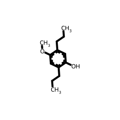 CCCc1cc(OC)c(CCC)cc1O